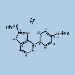 CCCCCCC1=Cc2c(cccc2-c2ccc(CCCCCC)cc2)[CH]1.[Zr]